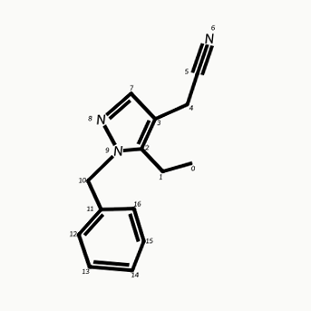 CCc1c(CC#N)cnn1Cc1ccccc1